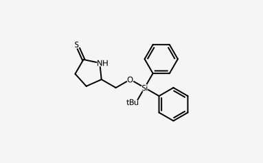 CC(C)(C)[Si](OCC1CCC(=S)N1)(c1ccccc1)c1ccccc1